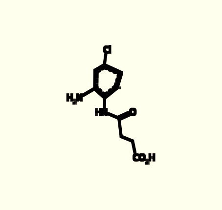 Nc1cc(Cl)c[c]c1NC(=O)CCC(=O)O